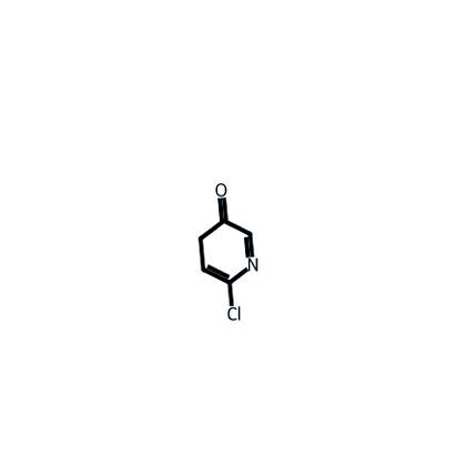 O=C1C=NC(Cl)=CC1